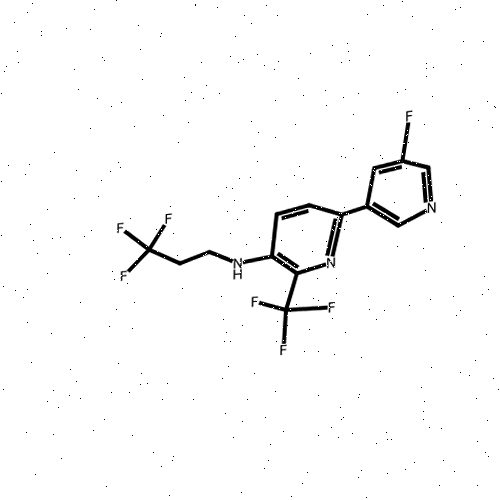 Fc1cncc(-c2ccc(NCCC(F)(F)F)c(C(F)(F)F)n2)c1